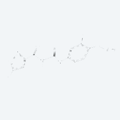 CCCCCOc1ccc(NC(=S)NC(=O)c2cc(C)on2)cc1F